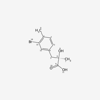 Cc1ccc(C[C@@](C)(O)C(=O)O)cc1Br